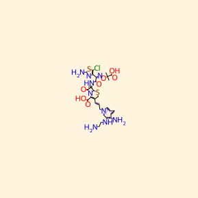 CC(C)(O/N=C(\C(=O)N[C@@H]1C(=O)N2C(C(=O)O)=C(/C=C/C[N+]3=C/C(NCCN)=C(N)\C=C\C=C\3)CSC12)c1nc(N)sc1Cl)C(=O)O